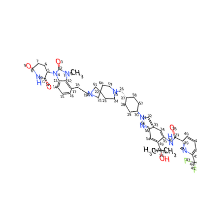 Cn1c(=O)n(C2CCC(=O)NC2=O)c2cccc(CCN3CC4(CCN(C[C@H]5CC[C@H](n6cc7cc(NC(=O)c8cccc(C(F)(F)F)n8)c(C(C)(C)O)cc7n6)CC5)CC4)C3)c21